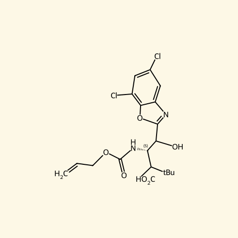 C=CCOC(=O)N[C@H](C(O)c1nc2cc(Cl)cc(Cl)c2o1)C(C(=O)O)C(C)(C)C